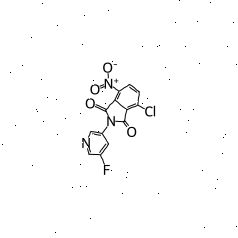 O=C1c2c(Cl)ccc([N+](=O)[O-])c2C(=O)N1c1cncc(F)c1